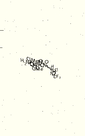 COc1cc(N)c(Cl)cc1C(=O)NC1CCN(CCCCNc2ncc(C(F)(F)F)cc2Cl)CC1OC.O